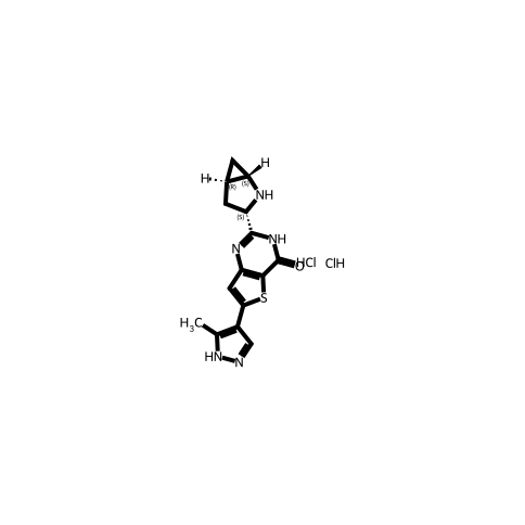 Cc1[nH]ncc1-c1cc2nc([C@@H]3C[C@H]4C[C@@H]4N3)[nH]c(=O)c2s1.Cl.Cl